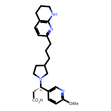 COc1ccc([C@H](CC(=O)O)N2CCC(CCCc3ccc4c(n3)NCCC4)C2)cn1